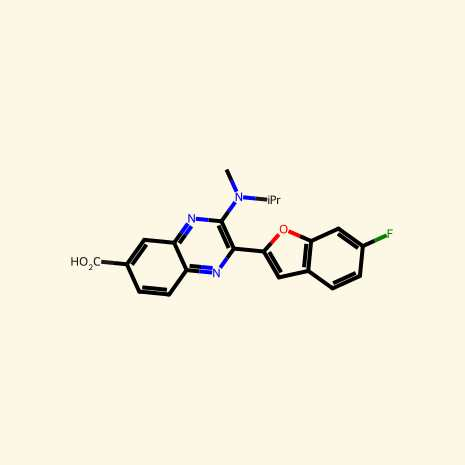 CC(C)N(C)c1nc2cc(C(=O)O)ccc2nc1-c1cc2ccc(F)cc2o1